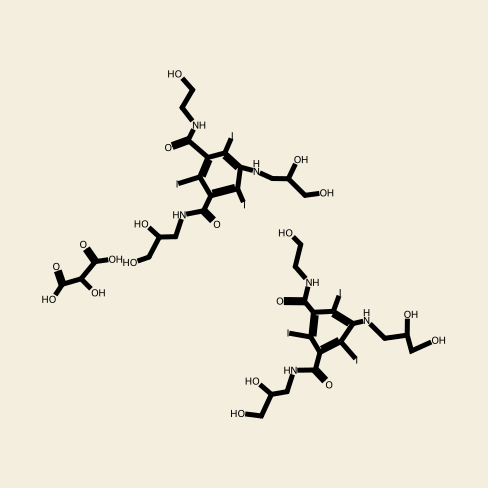 O=C(NCCO)c1c(I)c(NCC(O)CO)c(I)c(C(=O)NCC(O)CO)c1I.O=C(NCCO)c1c(I)c(NCC(O)CO)c(I)c(C(=O)NCC(O)CO)c1I.O=C(O)C(O)C(=O)O